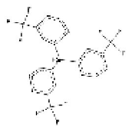 FC(F)(F)c1cccc([SiH](c2cccc(C(F)(F)F)c2)c2cccc(C(F)(F)F)c2)c1